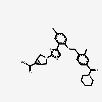 Cc1ccc(OCc2ccc(C(=O)N3CCCCC3)cc2C)c(-c2csc(N3CC4=C(C(=O)O)C4C3)n2)c1